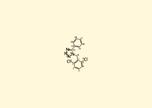 Clc1cccc(Cl)c1Cn1nnnc1-c1ccccc1